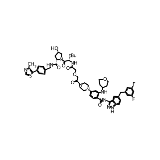 Cc1ncsc1-c1ccc(CNC(=O)[C@@H]2C[C@@H](O)CN2C(=O)[C@@H](NC(=O)COCC(=O)N2CCN(c3ccc(C(=O)Nc4n[nH]c5ccc(Cc6cc(F)cc(F)c6)cc45)c(NC4CCOCC4)c3)CC2)C(C)(C)C)cc1